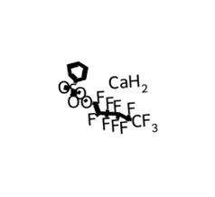 O=S(=O)(OOC(F)=C(F)C(F)(F)C(F)(F)C(F)(F)C(F)(F)F)c1ccccc1.[CaH2]